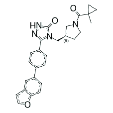 CC1(C(=O)N2CC[C@@H](Cn3c(-c4ccc(-c5ccc6occc6c5)cc4)n[nH]c3=O)C2)CC1